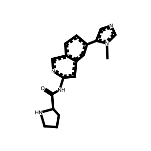 Cn1cncc1-c1ccc2cnc(NC(=O)C3CCCN3)cc2c1